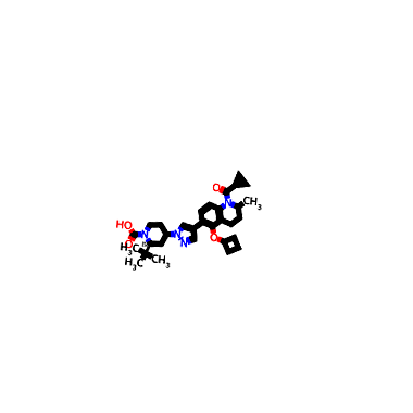 CC1CCc2c(ccc(-c3cnn(C4CCN(C(=O)O)[C@H](C(C)(C)C)C4)c3)c2OC2CCC2)N1C(=O)C1CC1